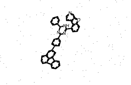 c1ccc(C2N=C(c3ccc(-c4cc5c6c(cccc6c4)-c4ccccc4-5)cc3)N=C(c3cccc4oc5cnccc5c34)N2)cc1